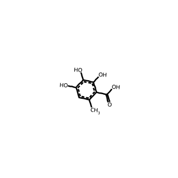 Cc1cc(O)c(O)c(O)c1C(=O)O